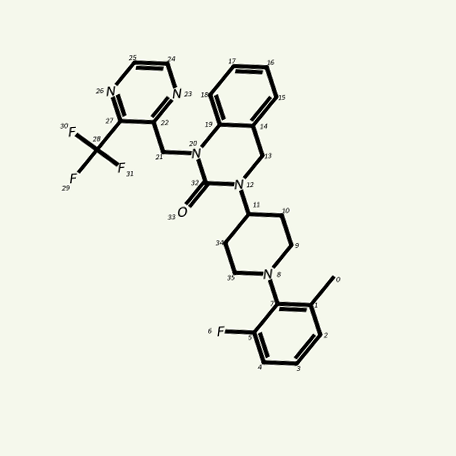 Cc1cccc(F)c1N1CCC(N2Cc3ccccc3N(Cc3nccnc3C(F)(F)F)C2=O)CC1